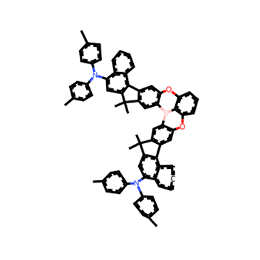 Cc1ccc(N(c2ccc(C)cc2)c2cc3c(c4ccccc24)-c2cc4c(cc2C3(C)C)B2c3cc5c(cc3Oc3cccc(c32)O4)-c2c(cc(N(c3ccc(C)cc3)c3ccc(C)cc3)c3ccccc23)C5(C)C)cc1